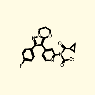 CCC(=O)N(C(=O)C1CC1)c1cc(-c2c(-c3ccc(F)cc3)nn3c2OCCC3)ccn1